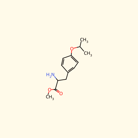 COC(=O)C(N)Cc1ccc(OC(C)C)cc1